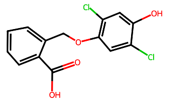 O=C(O)c1ccccc1COc1cc(Cl)c(O)cc1Cl